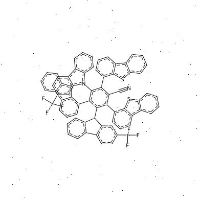 N#Cc1c(-c2cccc3c2sc2ccccc23)c(C2c3ccccc3-c3ccc(C(F)(F)F)cc32)c(-c2cccc3c2sc2ccccc23)c(-n2c3ccccc3c3ccc(C(F)(F)F)cc32)c1-c1cccc2c1sc1ccccc12